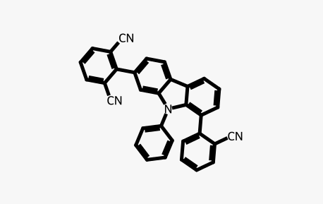 N#Cc1ccccc1-c1cccc2c3ccc(-c4c(C#N)cccc4C#N)cc3n(-c3ccccc3)c12